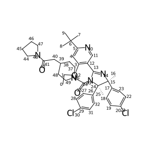 CCOc1cc(C(C)(C)C)ncc1C1=N[C@@](C)(c2ccc(Cl)cc2)[C@@](C)(c2ccc(Cl)cc2)N1C(=O)N1CCC(CC(=O)N2CCCC2)CC1